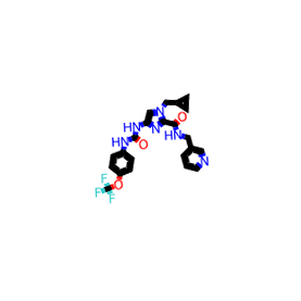 O=C(Nc1ccc(OC(F)(F)F)cc1)Nc1cn(CC2CC2)c(C(=O)NCc2cccnc2)n1